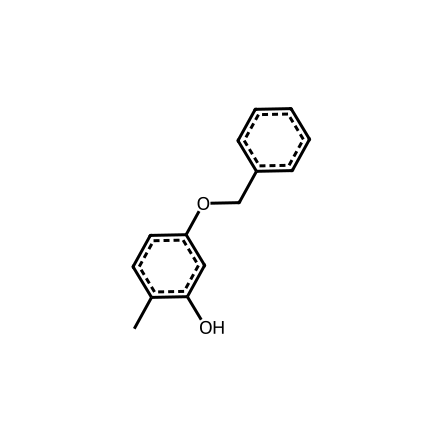 Cc1ccc(OCc2ccccc2)cc1O